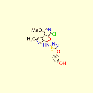 COc1cnc(Cl)cc1-c1cc(C)ncc1C(=O)Nc1nnc(O[C@H]2CCC[C@@H](O)C2)s1